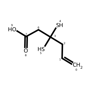 C=CCC(S)(S)CC(=O)O